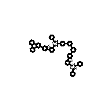 c1ccc(-c2nc(-c3ccccc3)nc(-c3cccc4c3sc3cc(-c5cccc(-c6cccc(-c7ccc(-c8nc(-c9ccccc9)nc(-c9cccc%10c9sc9cc(-c%11ccc%12c%13ccccc%13c%13ccccc%13c%12c%11)ccc9%10)n8)cc7)c6)c5)ccc34)n2)cc1